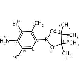 Cc1c(B2OC(C)(C)C(C)(C)O2)cc(F)c(N)c1Br